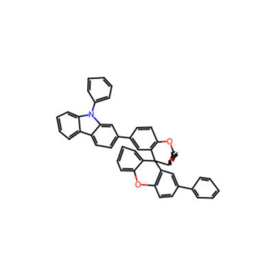 c1ccc(-c2ccc3c(c2)C2(c4ccccc4O3)c3ccccc3Oc3ccc(-c4ccc5c6ccccc6n(-c6ccccc6)c5c4)cc32)cc1